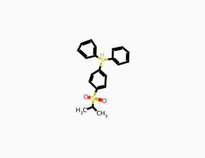 CC(C)S(=O)(=O)c1ccc([SH](c2ccccc2)c2ccccc2)cc1